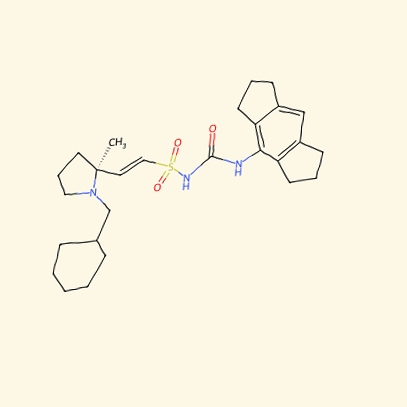 C[C@@]1(/C=C/S(=O)(=O)NC(=O)Nc2c3c(cc4c2CCC4)CCC3)CCCN1CC1CCCCC1